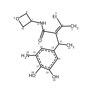 CC/C(C)=C(\C(=O)NC1COC1)C(C)c1cc(N)c(O)c(O)c1